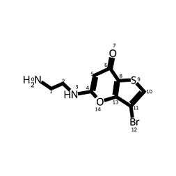 NCCNc1cc(=O)c2scc(Br)c2o1